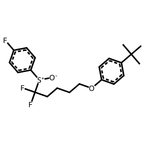 CC(C)(C)c1ccc(OCCCCC(F)(F)[S+]([O-])c2ccc(F)cc2)cc1